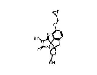 CC(C)N1C(=O)NC2(C1=O)c1cc(OCC3CC3)ccc1CC21CCC(O)CC1